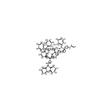 C=CCOC(=O)C[C@H](O)[C@@H](Cc1ccccc1)NC(=O)[C@@H](CSC(c1ccccc1)(c1ccccc1)c1ccccc1)NC(=O)OCC1c2ccccc2-c2ccccc21